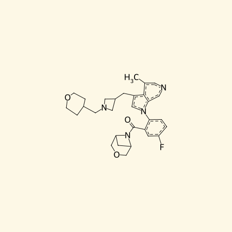 Cc1cncc2c1c(CC1CN(CC3CCOCC3)C1)cn2-c1ccc(F)cc1C(=O)N1C2COCC1C2